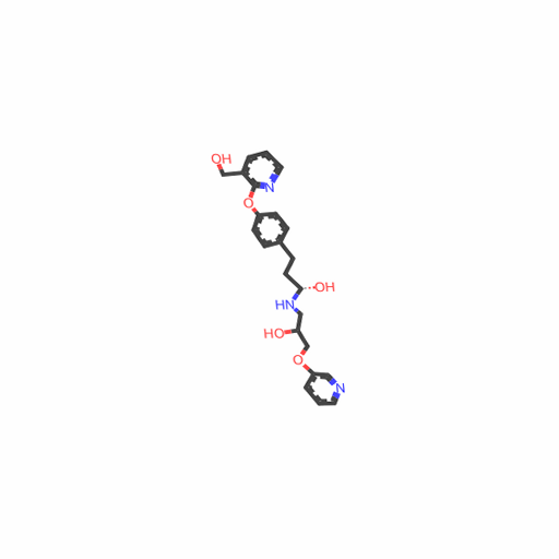 OCc1cccnc1Oc1ccc(CC[C@H](O)NCC(O)COc2cccnc2)cc1